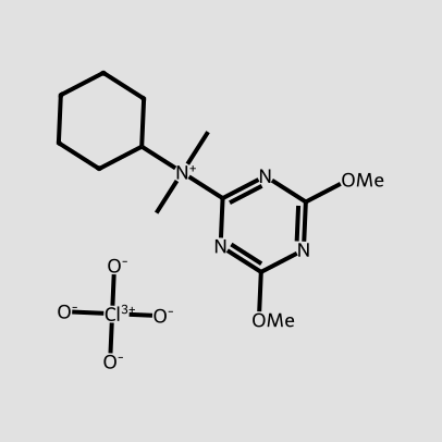 COc1nc(OC)nc([N+](C)(C)C2CCCCC2)n1.[O-][Cl+3]([O-])([O-])[O-]